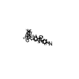 COC(=O)[C@H](Cc1ccc2c(c1)CN(c1ccc(C#N)cc1)C2=O)NC(=O)OC(C)(C)C